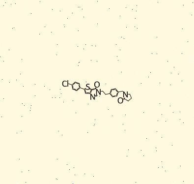 O=C1CCCN1Cc1ccc(CCn2cnc3cc(-c4ccc(Cl)cc4)sc3c2=O)cc1